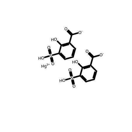 O=C([O-])c1cccc(S(=O)(=O)O)c1O.O=C([O-])c1cccc(S(=O)(=O)O)c1O.[Hg+2]